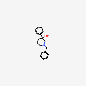 OC1(c2ccccc2)CCCN(Cc2ccccc2)C1